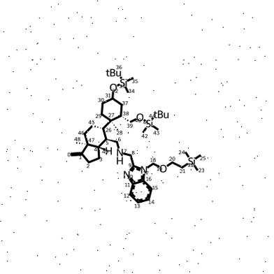 C=C1CC[C@H]2[C@H](CNCc3nc4ccccc4n3COCC[Si](C)(C)C)[C@@H]([C@@]3(C)CCC(O[Si](C)(C)C(C)(C)C)C[C@@H]3CO[Si](C)(C)C(C)(C)C)CC[C@]12C